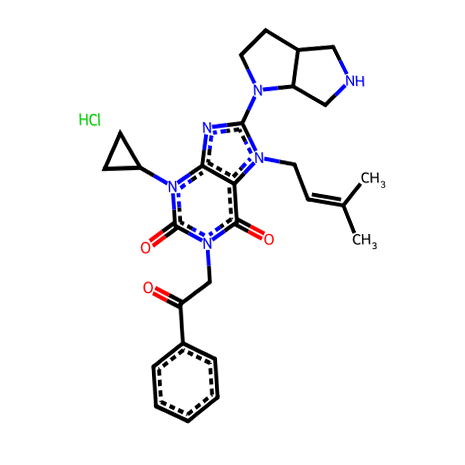 CC(C)=CCn1c(N2CCC3CNCC32)nc2c1c(=O)n(CC(=O)c1ccccc1)c(=O)n2C1CC1.Cl